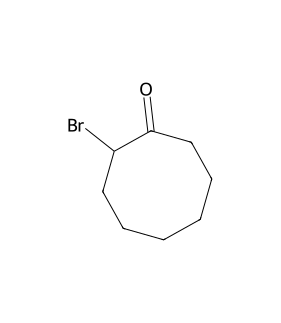 O=C1CCCCCCC1Br